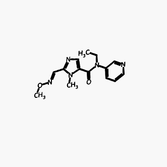 CCN(C(=O)c1cnc(C=NOC)n1C)c1cccnc1